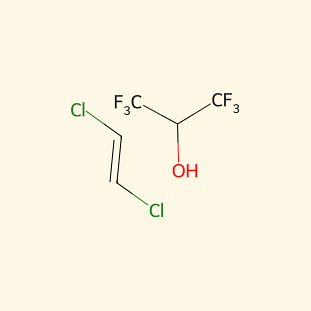 Cl/C=C/Cl.OC(C(F)(F)F)C(F)(F)F